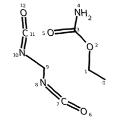 CCOC(N)=O.O=C=NCN=C=O